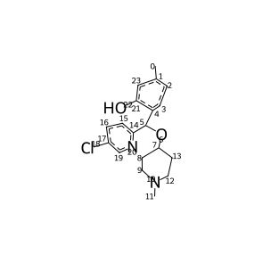 Cc1ccc(C(OC2CCN(C)CC2)c2ccc(Cl)cn2)c(O)c1